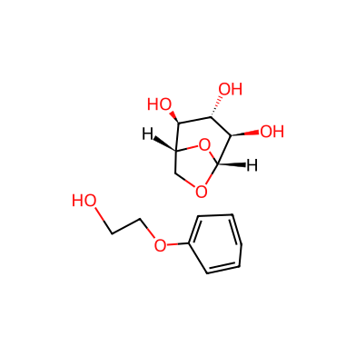 OCCOc1ccccc1.O[C@@H]1[C@@H](O)[C@@H]2OC[C@@H](O2)[C@H]1O